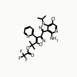 CC(C)n1nc(-c2noc(C(C)(C)OC(=O)C(F)(F)F)c2-c2ccccn2)c2c(N)ncc(Cl)c21